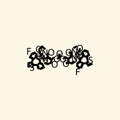 O=C(OCc1c2n(ccc1=O)N(C1c3ccc(F)cc3-c3ccsc3-c3ccccc31)[C@@H]1COCCN1C2=O)OCc1c2n(ccc1=O)N(C1c3ccc(F)cc3-c3ccsc3-c3ccccc31)[C@@H]1COCCN1C2=O